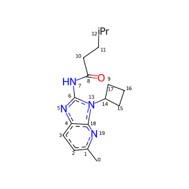 Cc1ccc2nc(NC(=O)CCC(C)C)n(C3CCC3)c2n1